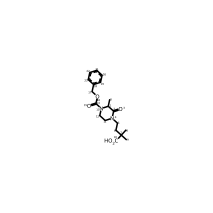 CC1C(=O)N(CCC(C)(C)C(=O)O)CCN1C(=O)OCc1ccccc1